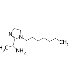 CCCCCCCN1CCN=C1C(C)N